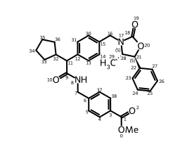 COC(=O)c1ccc(CNC(=O)C(c2ccc(CN3C(=O)O[C@@H](c4ccccc4)[C@@H]3C)cc2)C2CCCC2)cc1